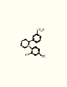 O=C(O)c1cccc(C2CCCCN2c2ccc(C(F)(F)F)cc2Cl)c1